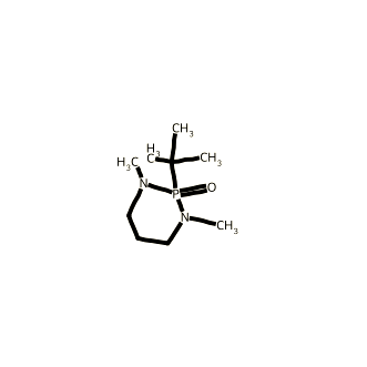 CN1CCCN(C)P1(=O)C(C)(C)C